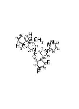 C[C@@H]1CN(C(=O)[C@@H]2CN(c3cccnn3)C[C@H]2c2ccc(F)cc2F)C[C@H](C)[C@]1(O)c1ccccc1